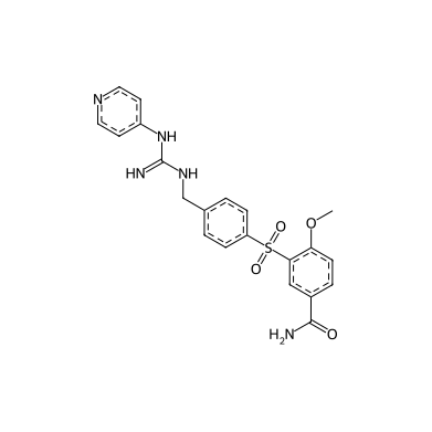 COc1ccc(C(N)=O)cc1S(=O)(=O)c1ccc(CNC(=N)Nc2ccncc2)cc1